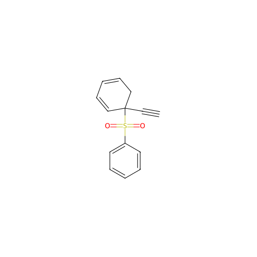 C#CC1(S(=O)(=O)c2ccccc2)C=CC=CC1